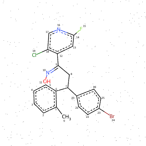 Cc1ccccc1C(C/C(=N\O)c1cc(F)ncc1Cl)c1ccc(Br)cc1